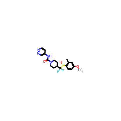 Cc1cc(OC(F)(F)F)ccc1[S+]([O-])C(F)(F)C1CCN(C(=O)Nc2ccnnc2)CC1